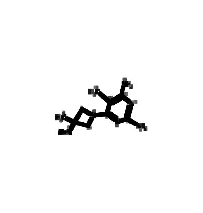 CNC1(C)CN(c2nc(N)nc(N)c2C)C1